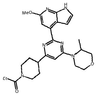 CCC(=O)N1CCC(c2cc(N3CCOCC3C)nc(-c3cc(OC)nc4[nH]ccc34)n2)CC1